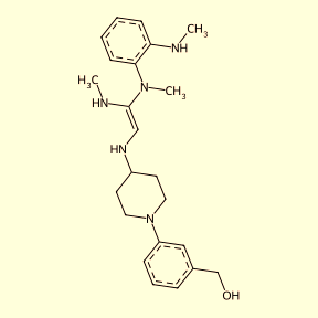 CN/C(=C\NC1CCN(c2cccc(CO)c2)CC1)N(C)c1ccccc1NC